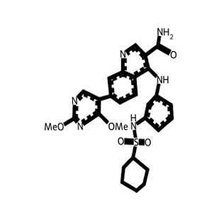 COc1ncc(-c2ccc3c(Nc4cccc(NS(=O)(=O)C5CCCCC5)c4)c(C(N)=O)cnc3c2)c(OC)n1